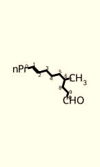 CCCC=CCCCC(C)CCC=O